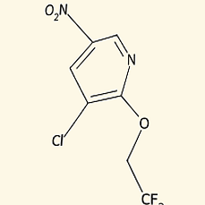 O=[N+]([O-])c1cnc(OCC(F)(F)F)c(Cl)c1